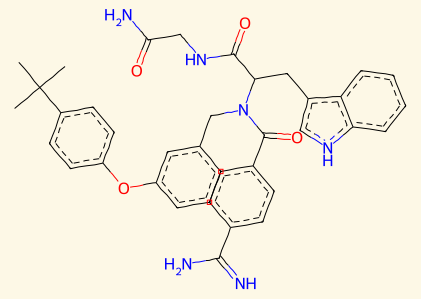 CC(C)(C)c1ccc(Oc2cccc(CN(C(=O)c3ccc(C(=N)N)cc3)C(Cc3c[nH]c4ccccc34)C(=O)NCC(N)=O)c2)cc1